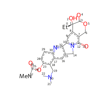 CC[C@@]1(O)C(=O)OCc2c1cc1n(c2=O)Cc2cc3c(CN(C)C)c(OC(=O)NC)ccc3nc2-1